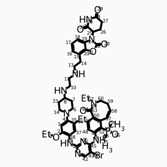 CCOc1cc(N2CCC(NCCNCCc3cccc4c3oc(=O)n4C3CCC(=O)NC3=O)CC2)c(CC)cc1Nc1ncc(Br)c(Nc2ccc3c(c2P(C)(C)=O)/C=C\CCN(CC)C3=O)n1